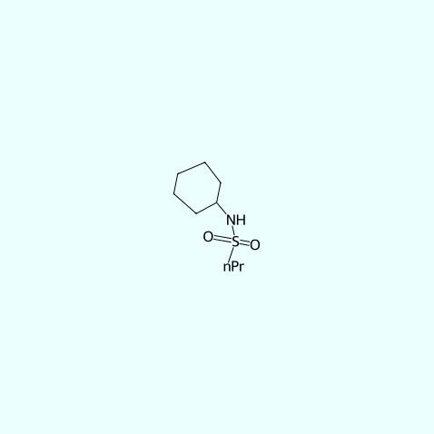 CCCS(=O)(=O)NC1CCCCC1